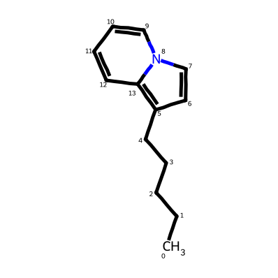 CCCCCc1ccn2ccccc12